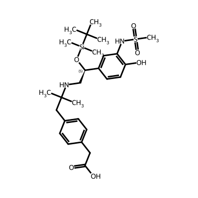 CC(C)(Cc1ccc(CC(=O)O)cc1)NC[C@@H](O[Si](C)(C)C(C)(C)C)c1ccc(O)c(NS(C)(=O)=O)c1